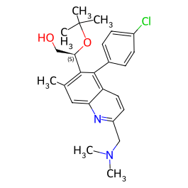 Cc1cc2nc(CN(C)C)ccc2c(-c2ccc(Cl)cc2)c1[C@@H](CO)OC(C)(C)C